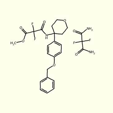 COC(=O)C(F)(F)C(=O)NC1(c2ccc(OCc3ccccc3)cc2)CCOCC1.NC(=O)C(F)(F)C(N)=O